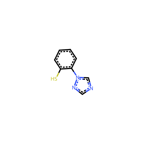 Sc1ccccc1-n1cncn1